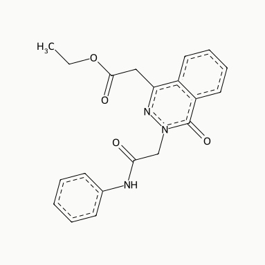 CCOC(=O)Cc1nn(CC(=O)Nc2ccccc2)c(=O)c2ccccc12